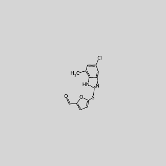 Cc1cc(Cl)cc2nc(Sc3ccc(C=O)o3)[nH]c12